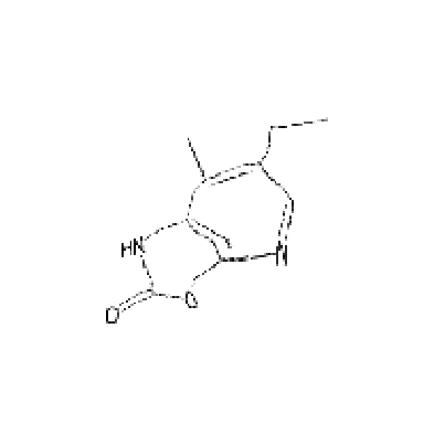 CCc1cnc2oc(=O)[nH]c2c1C